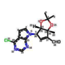 CC1(C)O[C@H]2[C@H](n3ccc4c(Cl)ncnc43)C=C(C=O)[C@@]2(C)O1